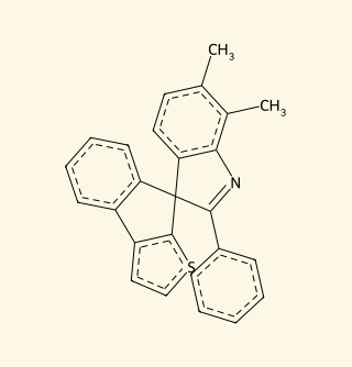 Cc1ccc2c(c1C)N=C(c1ccccc1)C21c2ccccc2-c2ccsc21